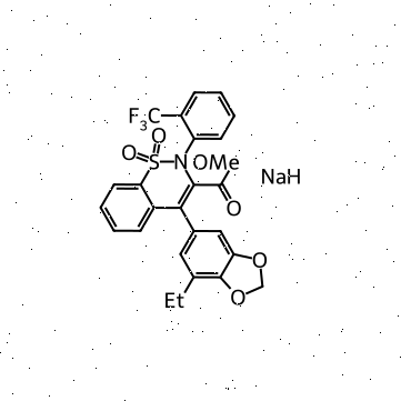 CCc1cc(C2=C(C(=O)OC)N(c3ccccc3C(F)(F)F)S(=O)(=O)c3ccccc32)cc2c1OCO2.[NaH]